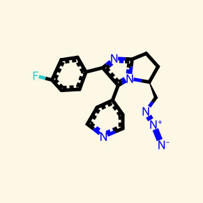 [N-]=[N+]=NC[C@@H]1CCc2nc(-c3ccc(F)cc3)c(-c3ccncc3)n21